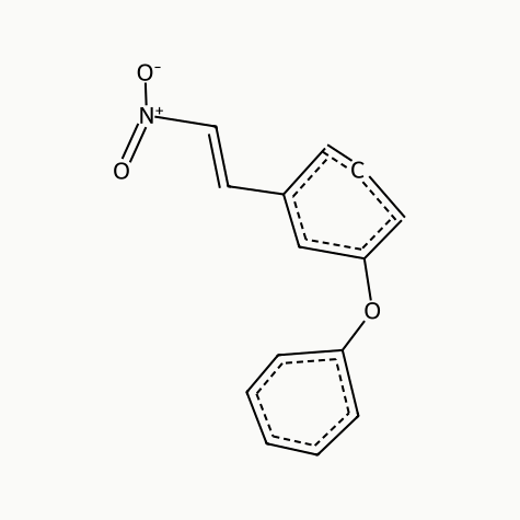 O=[N+]([O-])C=Cc1cccc(Oc2ccccc2)c1